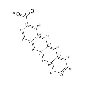 O=C(O)c1ccc2cc3cc4ccccc4cc3cc2c1